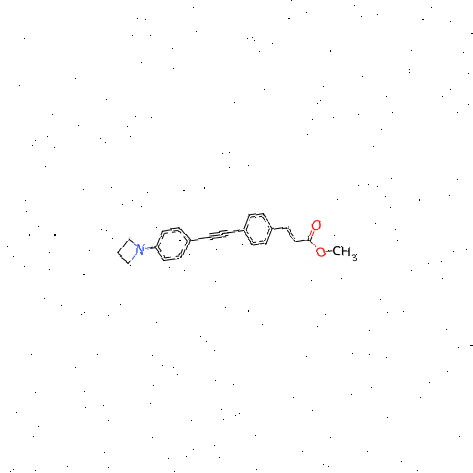 COC(=O)/C=C/c1ccc(C#Cc2ccc(N3CCC3)cc2)cc1